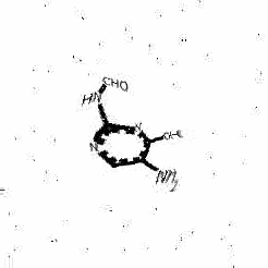 Nc1cnc(NC=O)nc1O